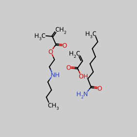 C=C(C)C(=O)OCCNCCCC.C=CC(=O)O.CCCCCCCC(N)=O